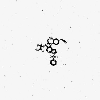 N#CC[C@H]1CC[C@H](n2c(CN)nc3cnc4c(ccn4S(=O)(=O)c4ccccc4)c32)CC1.O=C(O)C(F)(F)F